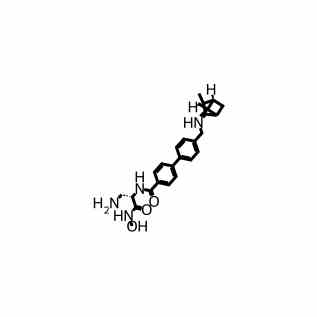 C[C@@H]1C(NCc2ccc(-c3ccc(C(=O)N[C@@H](CN)C(=O)NO)cc3)cc2)C2C[C@@H]1C2(C)C